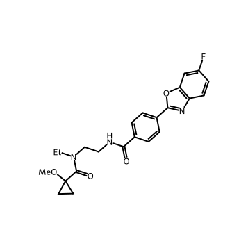 CCN(CCNC(=O)c1ccc(-c2nc3ccc(F)cc3o2)cc1)C(=O)C1(OC)CC1